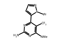 CNc1nc(N)nc(-c2ccnn2C(C)C)c1C(F)(F)F